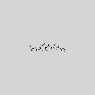 CCCCOC(=O)CCC1=CCC(CCCC)CC1